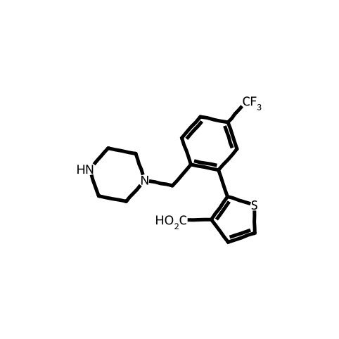 O=C(O)c1ccsc1-c1cc(C(F)(F)F)ccc1CN1CCNCC1